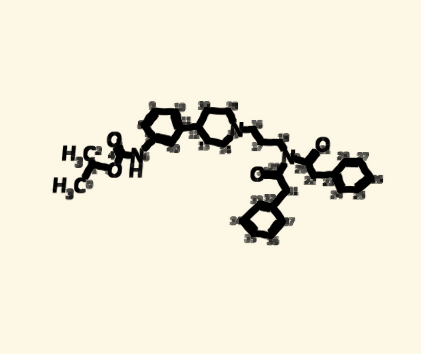 CC(C)OC(=O)Nc1cccc(C2CCN(CCCN(C(=O)Cc3ccccc3)C(=O)Cc3ccccc3)CC2)c1